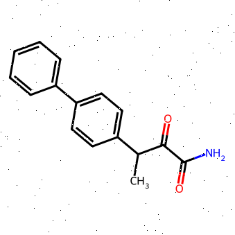 CC(C(=O)C(N)=O)c1ccc(-c2ccccc2)cc1